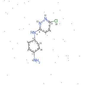 Nc1ccc(Nc2ccc(Cl)nn2)cc1